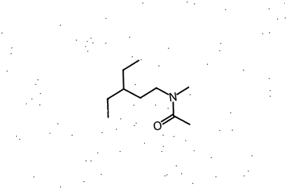 CCC(CC)CCN(C)C(C)=O